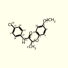 COc1ccc(OC(C)C(=O)Nc2ccc(Cl)cc2)cc1